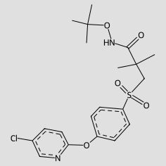 CC(C)(C)ONC(=O)C(C)(C)CS(=O)(=O)c1ccc(Oc2ccc(Cl)cn2)cc1